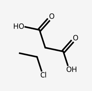 CCCl.O=C(O)CC(=O)O